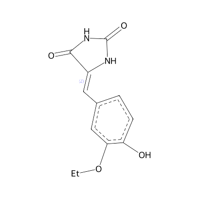 CCOc1cc(/C=C2\NC(=O)NC2=O)ccc1O